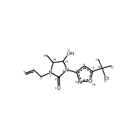 C=CCN1C(=O)N(c2cc(C(C)(C)CC)on2)C(O)C1C